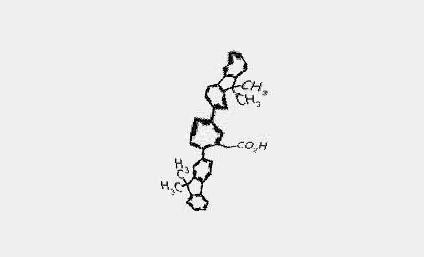 CC1(C)c2ccccc2-c2ccc(-c3ccc(-c4ccc5c(c4)C(C)(C)c4ccccc4-5)c(CC(=O)O)c3)cc21